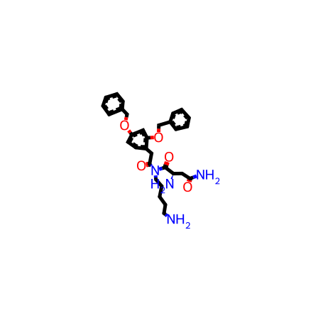 NCCCCCN(C(=O)Cc1ccc(OCc2ccccc2)cc1OCc1ccccc1)C(=O)[C@@H](N)CC(N)=O